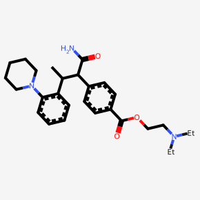 CCN(CC)CCOC(=O)c1ccc(C(C(N)=O)C(C)c2ccccc2N2CCCCC2)cc1